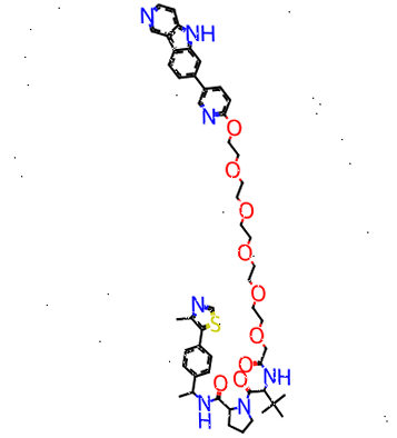 Cc1ncsc1-c1ccc(C(C)NC(=O)C2CCCN2C(=O)C(NC(=O)COCCOCCOCCOCCOCCOc2ccc(-c3ccc4c(c3)[nH]c3ccncc34)cn2)C(C)(C)C)cc1